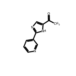 CC(=O)c1cnc(-c2cccnc2)[nH]1